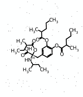 CCCC(C)C(=O)Oc1ccc(C[C@](NC(C)CC)(OC(=O)C(C)CC)C(=O)O)cc1OC(=O)C(C)CCC